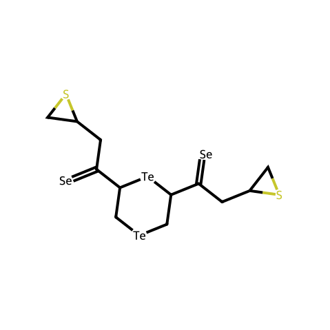 [Se]=C(CC1CS1)C1C[Te]CC(C(=[Se])CC2CS2)[Te]1